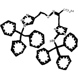 O=C(O)/C(=N/OCc1cn(C(c2ccccc2)(c2ccccc2)c2ccccc2)nn1)c1csc(NC(c2ccccc2)(c2ccccc2)c2ccccc2)n1